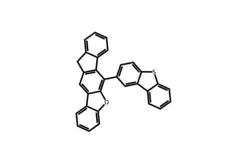 c1ccc2c(c1)Cc1cc3c(oc4ccccc43)c(-c3ccc4sc5ccccc5c4c3)c1-2